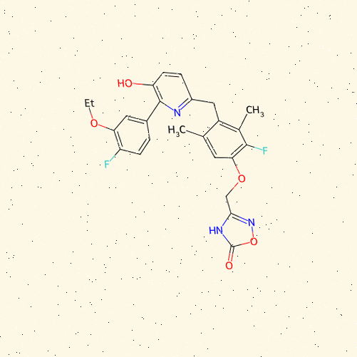 CCOc1cc(-c2nc(Cc3c(C)cc(OCc4noc(=O)[nH]4)c(F)c3C)ccc2O)ccc1F